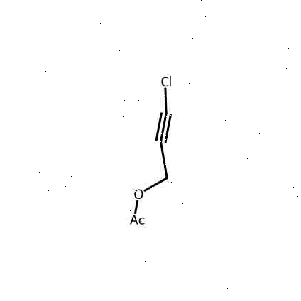 [CH2]C(=O)OCC#CCl